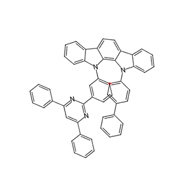 c1ccc(-c2ccc(-n3c4ccccc4c4ccc5c6ccccc6n(-c6cccc(-c7nc(-c8ccccc8)cc(-c8ccccc8)n7)c6)c5c43)cc2)cc1